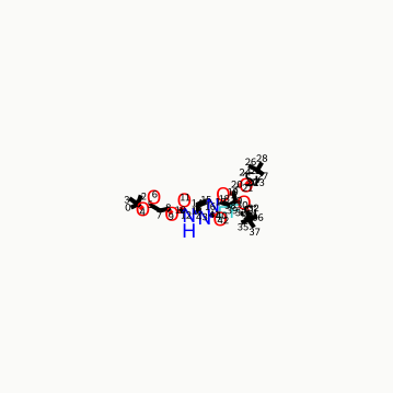 CC(C)(C)OC(=O)CCOC(=O)Nc1ccn([C@@H]2O[C@H](CO[Si](C)(C)C(C)(C)C)[C@@H](O[Si](C)(C)C(C)(C)C)C2(F)F)c(=O)n1